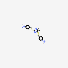 CN(C)c1ccc(CSC2=NC(C)(C)C(SCc3ccc(N(C)C)cc3)=N2)cc1